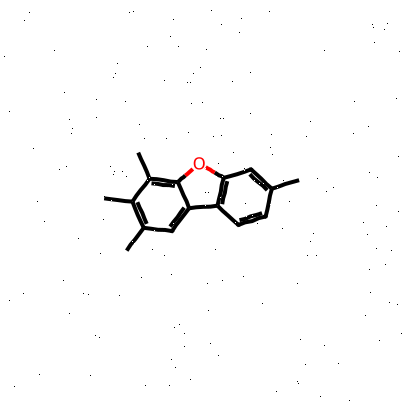 Cc1ccc2c(c1)oc1c(C)c(C)c(C)cc12